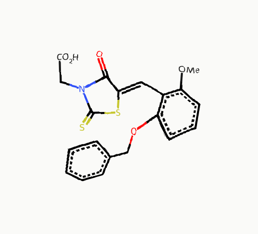 COc1cccc(OCc2ccccc2)c1/C=C1\SC(=S)N(CC(=O)O)C1=O